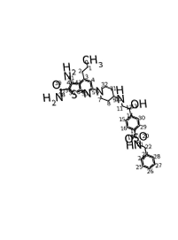 CCCc1cc(N2CCC(NCC(O)c3ccc(S(=O)(=O)NCc4ccccc4)cc3)CC2)nc2sc(C(N)=O)c(N)c12